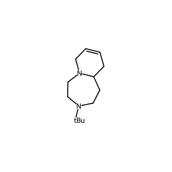 CC(C)(C)N1CCC2CC=CCN2CC1